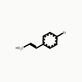 CCc1ccc(C=CC(=O)O)cc1